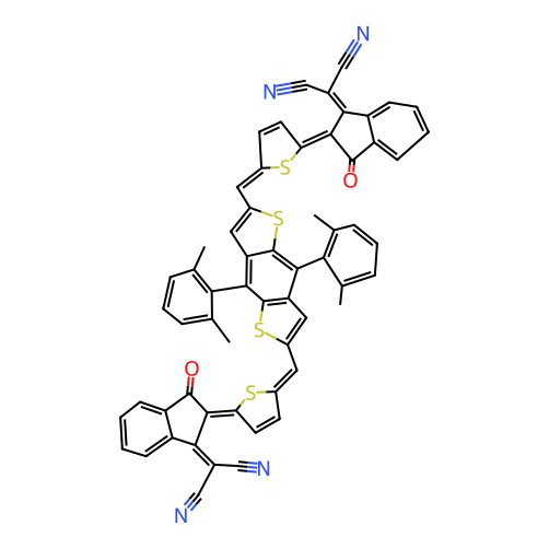 Cc1cccc(C)c1-c1c2cc(/C=c3/cc/c(=C4/C(=O)c5ccccc5C4=C(C#N)C#N)s3)sc2c(-c2c(C)cccc2C)c2cc(/C=c3/cc/c(=C4/C(=O)c5ccccc5C4=C(C#N)C#N)s3)sc12